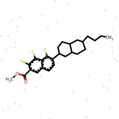 CCCCC1CCC2CC(c3ccc4cc(C(=O)OC)c(F)c(F)c4c3F)CCC2C1